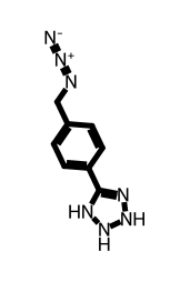 [N-]=[N+]=NCc1ccc(C2=NNNN2)cc1